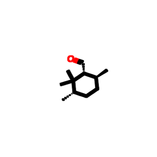 C[C@H]1CC[C@H](C)C(C)(C)[C@@H]1C=O